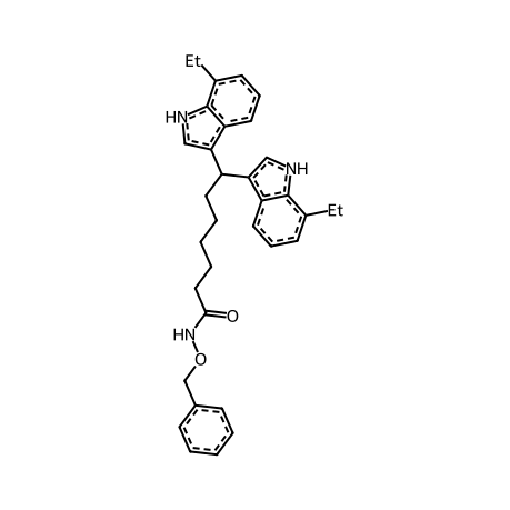 CCc1cccc2c(C(CCCCCC(=O)NOCc3ccccc3)c3c[nH]c4c(CC)cccc34)c[nH]c12